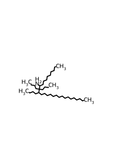 CCCCCCCCCCCCCCCCC(CCCC)C(CCCC)(CCCC)C(N)CCCCCCCCC